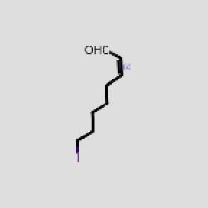 O=C/C=C\CCCCCI